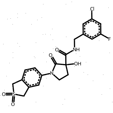 O=C(NCc1cc(F)cc(Cl)c1)C1(O)CCN(c2ccc3c(c2)CS(=O)(=O)C3)C1=O